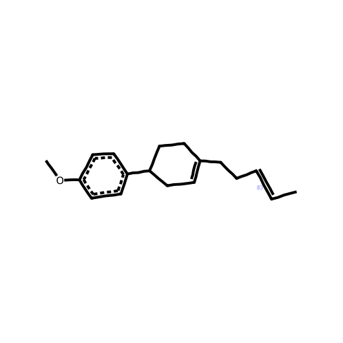 C/C=C/CCC1=CCC(c2ccc(OC)cc2)CC1